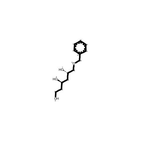 OCC[C@@H](O)C[C@H](O)COCc1ccccc1